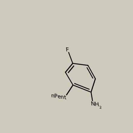 CCCCCc1cc(F)ccc1N